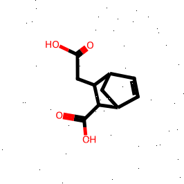 O=C(O)CC1C2C=CC(C2)C1C(=O)O